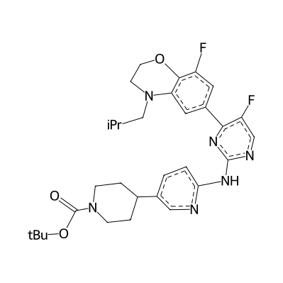 CC(C)CN1CCOc2c(F)cc(-c3nc(Nc4ccc(C5CCN(C(=O)OC(C)(C)C)CC5)cn4)ncc3F)cc21